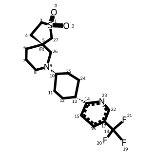 O=S1(=O)CC[C@@]2(CCCN([C@H]3CC[C@@H](c4ccc(C(F)(F)F)cn4)CC3)C2)C1